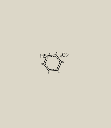 [Cs].c1cc[siH]cc1